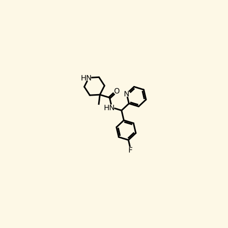 CC1(C(=O)NC(c2ccc(F)cc2)c2ccccn2)CCNCC1